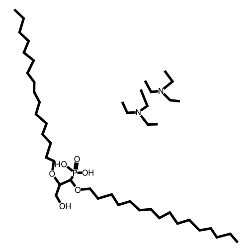 CCCCCCCCCCCCCCCCOC(CO)C(OCCCCCCCCCCCCCCCC)P(=O)(O)O.CCN(CC)CC.CCN(CC)CC